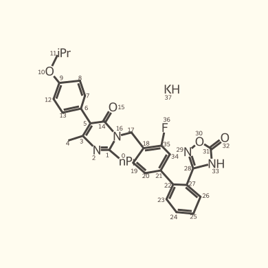 CCCc1nc(C)c(-c2ccc(OC(C)C)cc2)c(=O)n1Cc1ccc(-c2ccccc2-c2noc(=O)[nH]2)cc1F.[KH]